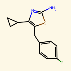 Nc1nc(C2CC2)c(Cc2ccc(F)cc2)s1